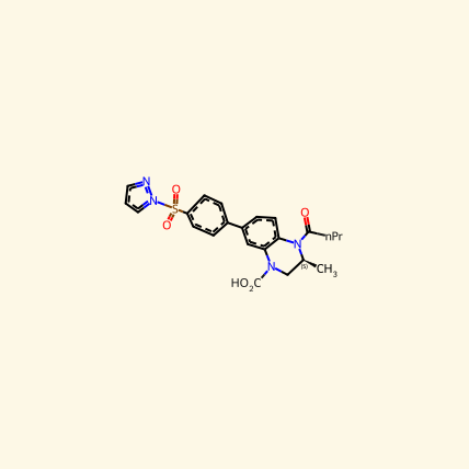 CCCC(=O)N1c2ccc(-c3ccc(S(=O)(=O)n4cccn4)cc3)cc2N(C(=O)O)C[C@@H]1C